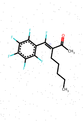 CCCCC/C(C(C)=O)=C(/F)c1c(F)c(F)c(F)c(F)c1F